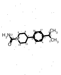 CC(C)c1ccc(C2CCN(C(N)=O)CC2)cc1